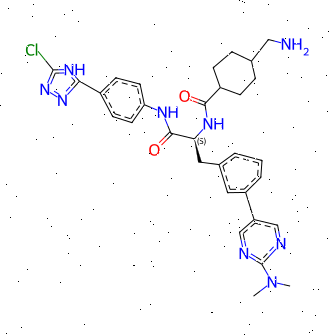 CN(C)c1ncc(-c2cccc(C[C@H](NC(=O)C3CCC(CN)CC3)C(=O)Nc3ccc(-c4nnc(Cl)[nH]4)cc3)c2)cn1